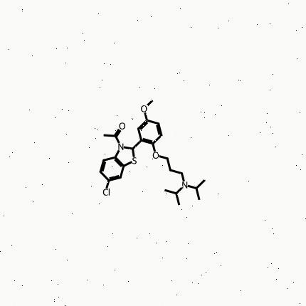 COc1ccc(OCCCN(C(C)C)C(C)C)c(C2Sc3cc(Cl)ccc3N2C(C)=O)c1